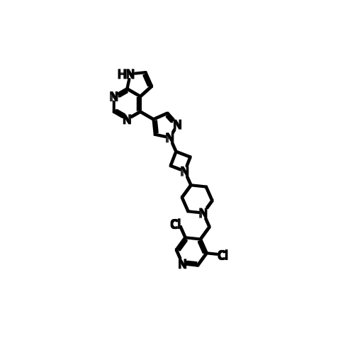 Clc1cncc(Cl)c1CN1CCC(N2CC(n3cc(-c4ncnc5[nH]ccc45)cn3)C2)CC1